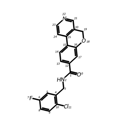 O=C(NCc1cc(F)ccc1Cl)c1ccc2c(c1)OCc1cnccc1-2